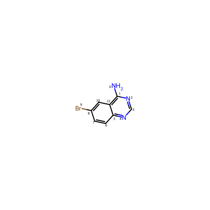 Nc1ncnc2ccc(Br)cc12